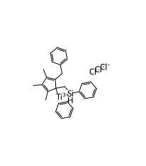 CC1=C(C)[C]([Ti+3])(C[SiH](c2ccccc2)c2ccccc2)C(Cc2ccccc2)=C1C.[Cl-].[Cl-].[Cl-]